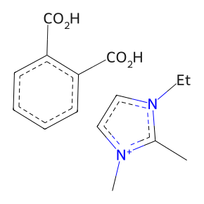 CCn1cc[n+](C)c1C.O=C(O)c1ccccc1C(=O)O